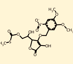 COc1cc(COC2=C(O)C(=O)OC2C(O)COC(=O)SC)c([N+](=O)[O-])cc1OC